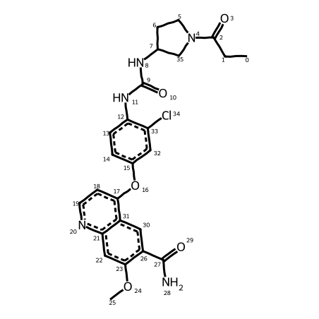 CCC(=O)N1CCC(NC(=O)Nc2ccc(Oc3ccnc4cc(OC)c(C(N)=O)cc34)cc2Cl)C1